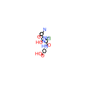 COc1ccc(C#N)cc1C(CCO)Nc1ncc(C(=O)NC[C@H]2CC[C@H](C(=O)O)CC2)cc1Cl